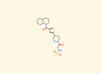 CS(=O)(=O)NCC(=O)N1CCC(c2cc(C(=O)N3CCCC4CCCCC43)cs2)CC1